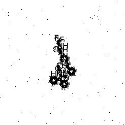 COC(=O)N[C@H](C(=O)Nc1ccccc1CC[C@@H]1CN[C@H](COC(=O)NCC(F)F)CO1)C(c1ccccc1)c1ccccc1